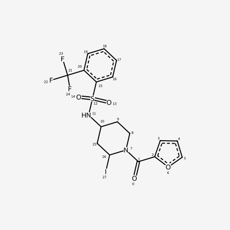 O=C(c1ccco1)N1CCC(NS(=O)(=O)c2ccccc2C(F)(F)F)CC1I